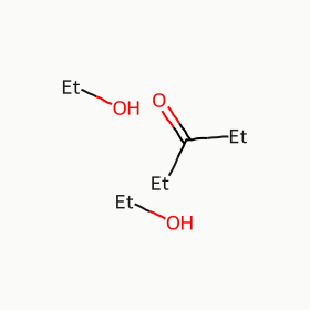 CCC(=O)CC.CCO.CCO